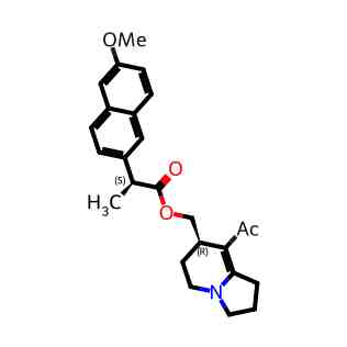 COc1ccc2cc([C@H](C)C(=O)OC[C@@H]3CCN4CCCC4=C3C(C)=O)ccc2c1